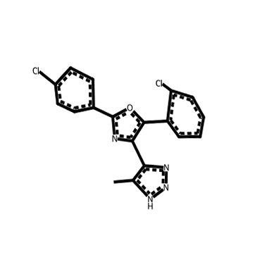 Cc1[nH]nnc1-c1nc(-c2ccc(Cl)cc2)oc1-c1ccccc1Cl